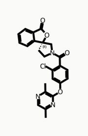 Cc1cnc(C)c(Oc2ccc(C(=O)N3CC[C@@]4(C3)OC(=O)c3ccccc34)c(Cl)c2)n1